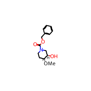 CO[C@@H]1CCN(C(=O)OCc2ccccc2)C[C@H]1O